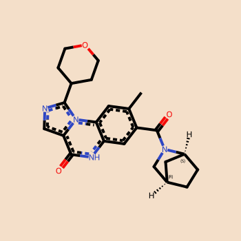 Cc1cc2c(cc1C(=O)N1C[C@@H]3CC[C@H]1C3)[nH]c(=O)c1cnc(C3CCOCC3)n12